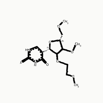 COCCOC1C(OC)[C@@H](COC)O[C@H]1c1c[nH]c(=S)[nH]c1=O